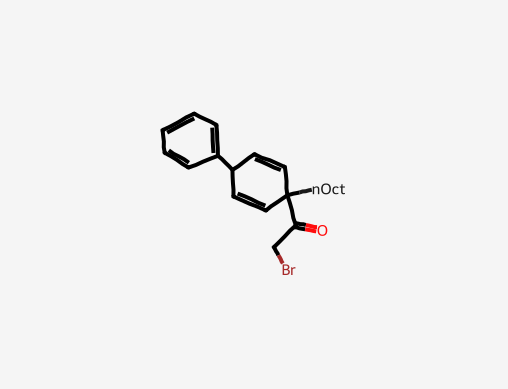 CCCCCCCCC1(C(=O)CBr)C=CC(c2ccccc2)C=C1